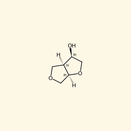 O[C@H]1CO[C@H]2COC[C@H]21